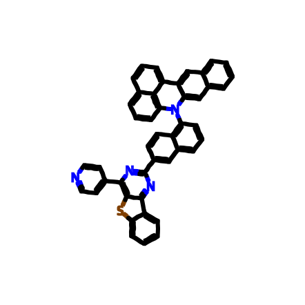 c1ccc2cc3c(cc2c1)-c1cccc2cccc(c12)N3c1cccc2cc(-c3nc(-c4ccncc4)c4sc5ccccc5c4n3)ccc12